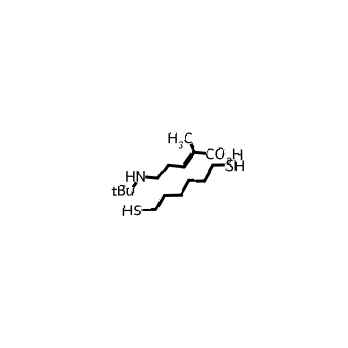 CC(=CCCNC(C)(C)C)C(=O)O.SCCCCCCS